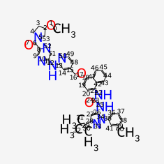 CO[C@H]1CCN(C(=O)c2cnc(Nc3cc(COc4ccc(NC(=O)Nc5cc(C(C)(C)C)nn5-c5cccc(C)c5)c5ccccc45)ccn3)cn2)C1